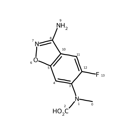 CN(C(=O)O)c1cc2onc(N)c2cc1F